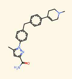 Cc1cc(C(N)=O)nn1-c1ccc(Cc2ccc(C3=CCN(C)CC3)cc2)cc1